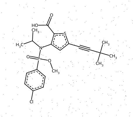 COP(=O)(c1ccc(Cl)cc1)N(c1cc(C#CC(C)(C)C)sc1C(=O)O)C(C)C